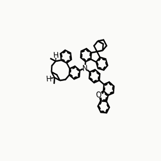 C[C@H]1C2Cc3ccc(N(c4ccc(-c5cccc6c5oc5ccccc56)cc4)c4cccc5c4-c4ccccc4C54CC5CCC4C5)cc3-c3ccccc3[C@@H](C)CC1C2